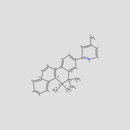 Cc1ccnc(-c2ccc3c(c2)C(C)(C)C(C)(C)c2c-3ccc3ccccc23)c1